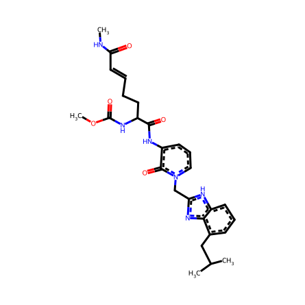 CNC(=O)/C=C/CCC(NC(=O)OC)C(=O)Nc1cccn(Cc2nc3c(CC(C)C)cccc3[nH]2)c1=O